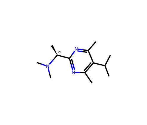 Cc1nc([C@H](C)N(C)C)nc(C)c1C(C)C